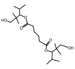 CC(C)C(OC(=O)CCCCC(=O)OC(C(C)C)C(C)(C)CO)C(C)(C)CO